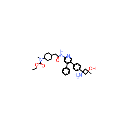 CCOC(=O)N(C)C1CCC(CC(=O)Nc2cc(-c3ccccc3)c(-c3ccc([C@]4(N)C[C@](C)(O)C4)cc3)cn2)CC1